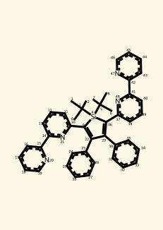 CC(C)(C)[Si]1(C(C)(C)C)C(c2cccc(-c3ccccn3)n2)=C(c2ccccc2)C(c2ccccc2)=C1c1cccc(-c2ccccn2)n1